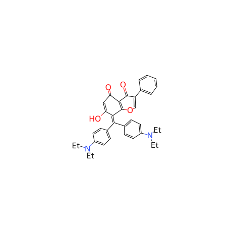 CCN(CC)c1ccc(C(=C2C(O)=CC(=O)c3c2occ(-c2ccccc2)c3=O)c2ccc(N(CC)CC)cc2)cc1